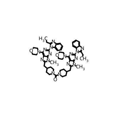 CCc1nc2ccccc2n1-c1nc(N2CCOCC2)c2nc(CC3CCN(C(=O)N4CCC(Cc5nc6c(N7CCOCC7)nc(-n7c(CC)nc8ccccc87)nc6n5C)CC4)CC3)n(C)c2n1